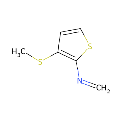 C=Nc1sccc1SC